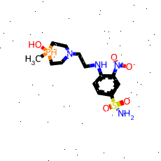 C[PH]1(O)CCN(CCNc2ccc(S(N)(=O)=O)cc2[N+](=O)[O-])CC1